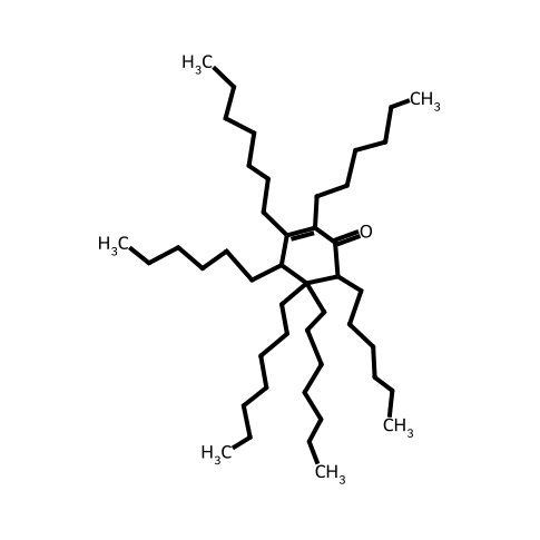 CCCCCCCC1=C(CCCCCC)C(=O)C(CCCCCC)C(CCCCCCC)(CCCCCCC)C1CCCCCC